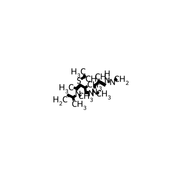 C=CC(C)N(C)/C(C)=C(/SC(=C)C)C(C)/C=N\N(C)C/C(C)=C/NN=C